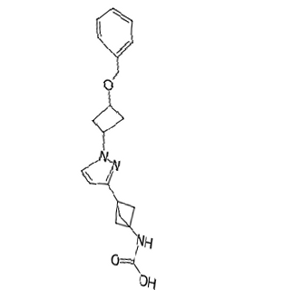 O=C(O)NC12CC(c3ccn(C4CC(OCc5ccccc5)C4)n3)(C1)C2